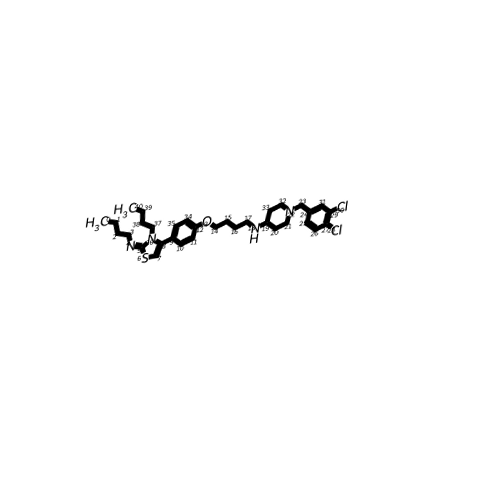 CCCCN=c1scc(-c2ccc(OCCCCNC3CCN(Cc4ccc(Cl)c(Cl)c4)CC3)cc2)n1CCCC